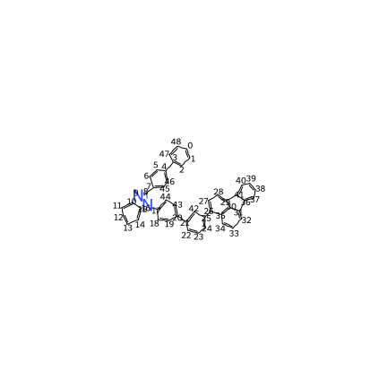 c1ccc(-c2ccc(-c3nc4ccccc4n3-c3ccc(-c4cccc(-c5ccc6c7c(cccc57)-c5ccccc5-6)c4)cc3)cc2)cc1